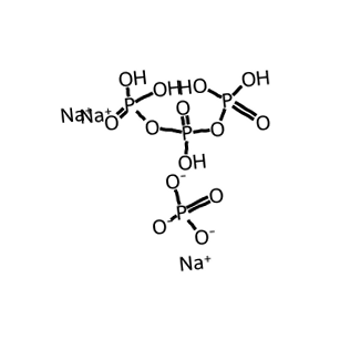 O=P(O)(O)OP(=O)(O)OP(=O)(O)O.O=P([O-])([O-])[O-].[Na+].[Na+].[Na+]